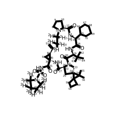 [2H]C([2H])([2H])C([2H])([2H])N1CCC[C@H]1C(=O)N[C@H](C(=O)N[C@H](C(=O)N1C[C@]2(C[C@H]1C(=O)N[C@]1(C(=O)NS(=O)(=O)N3C([2H])([2H])C([2H])([2H])C([2H])([2H])C3([2H])[2H])C[C@H]1C=C)C(C)(C)C21CCC1)C(C)(C)C)C1CCCCC1